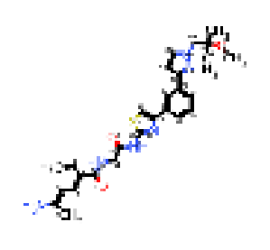 C=C/C(=C\C=C(/C)N)C(=O)NCC(=O)Nc1nc(-c2cccc(-c3ccn(CC(C)(C)OC)n3)c2)cs1